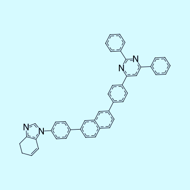 C1=Cc2c(ncn2-c2ccc(-c3ccc4ccc(-c5ccc(-c6cc(-c7ccccc7)nc(-c7ccccc7)n6)cc5)cc4c3)cc2)CC1